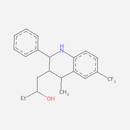 CCC(O)CC1C(C)c2cc(C(F)(F)F)ccc2NC1c1ccccc1